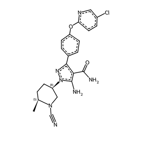 C[C@H]1CC[C@@H](n2nc(-c3ccc(Oc4ccc(Cl)cn4)cc3)c(C(N)=O)c2N)CN1C#N